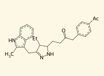 CCC1C(Cc2c(C)[nH]c3ccccc23)=NNC1CCC(=O)Cc1ccc(C(C)=O)cc1